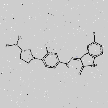 CCN(CC)C1CCN(c2ccc(N/C=C3\C(=O)Nc4ccc(F)cc43)cc2F)C1